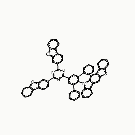 c1ccc(-c2cc(-c3nc(-c4ccc5c(c4)oc4ccccc45)nc(-c4ccc5c(c4)oc4ccccc45)n3)cc(-c3ccccc3)c2-n2c3ccccc3c3cc4sc5ccccc5c4cc32)cc1